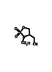 N#CCC1COS(=O)(=O)N1C(=O)O